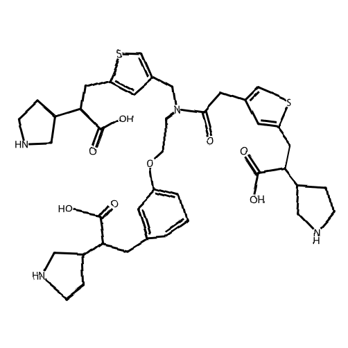 O=C(O)C(Cc1cccc(OCCN(Cc2csc(CC(C(=O)O)C3CCNC3)c2)C(=O)Cc2csc(CC(C(=O)O)C3CCNC3)c2)c1)C1CCNC1